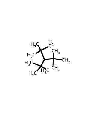 [CH2]C([CH2])([CH2])[C](C(C)(C)C)C(C)(C)C